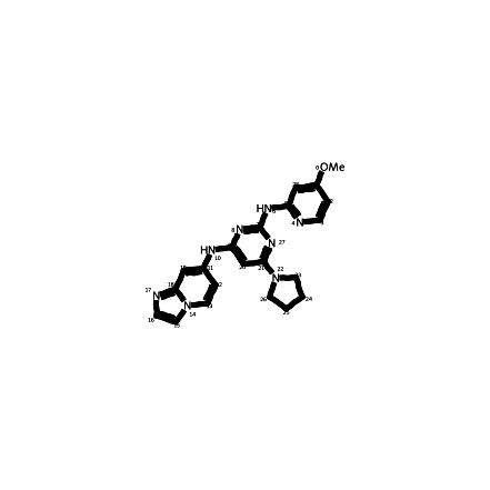 COc1ccnc(Nc2nc(Nc3ccn4ccnc4c3)cc(N3CCCC3)n2)c1